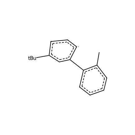 Cc1ccccc1-c1[c]ccc(C(C)(C)C)c1